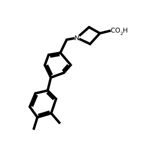 Cc1ccc(-c2ccc(CN3CC(C(=O)O)C3)cc2)cc1C